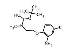 CN(CCOc1ccc(Cl)cc1N)C(O)OC(C)(C)C